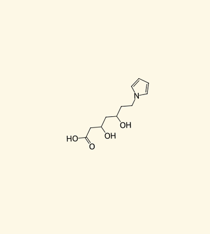 O=C(O)CC(O)CC(O)CCn1cccc1